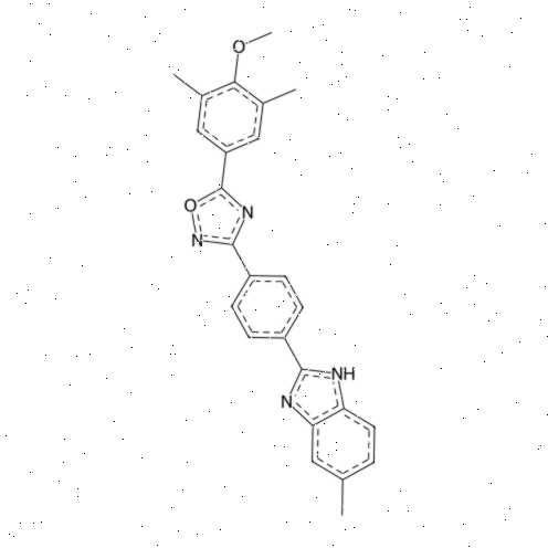 COc1c(C)cc(-c2nc(-c3ccc(-c4nc5cc(C)ccc5[nH]4)cc3)no2)cc1C